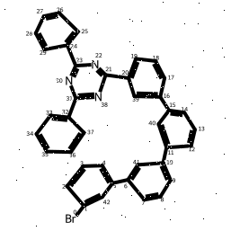 Brc1cccc(-c2cccc(-c3cccc(-c4cccc(-c5nc(-c6ccccc6)nc(-c6ccccc6)n5)c4)c3)c2)c1